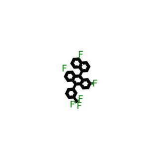 Fc1ccc2c(-c3cccc(C(F)(F)F)c3)c3ccc(F)cc3c(-c3cccc4c(F)cccc34)c2c1